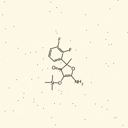 CC1(c2cccc(F)c2F)OC(N)=C(O[Si](C)(C)C)C1=O